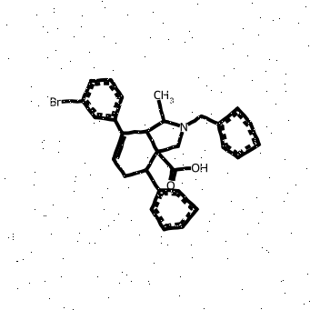 CC1C2C(c3cccc(Br)c3)=CCC(c3ccccc3)C2(C(=O)O)CN1Cc1ccccc1